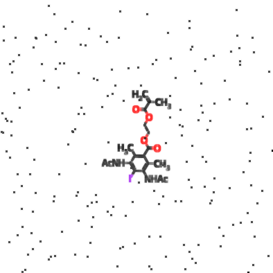 C=C(C)C(=O)OCCOC(=O)c1c(C)c(NC(C)=O)c(I)c(NC(C)=O)c1C